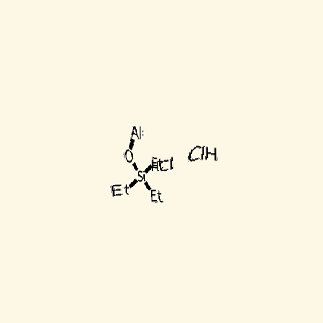 CC[Si](CC)(CC)[O][Al].Cl.Cl